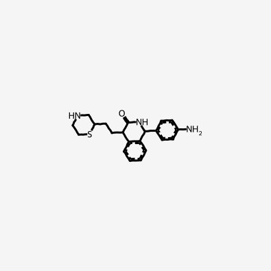 Nc1ccc(C2NC(=O)C(CCC3CNCCS3)c3ccccc32)cc1